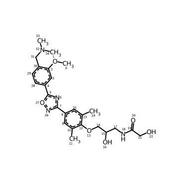 COc1cc(-c2nc(-c3cc(C)c(OCC(O)CNC(=O)CO)c(C)c3)no2)ccc1CN(C)C